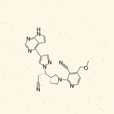 COCc1ccnc(N2CC[C@H]([C@H](CC#N)n3cc(-c4ncnc5[nH]ccc45)cn3)C2)c1C#N